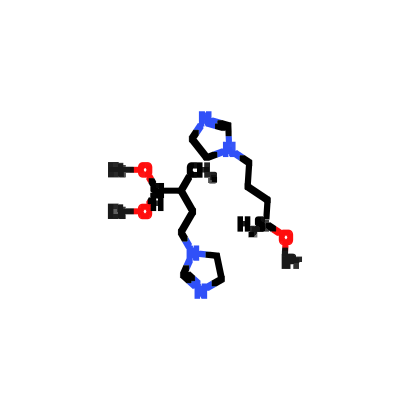 CC(C)O[SiH2]CCCN1C=NCC1.CCO[SiH](OCC)C(C)CCN1C=NCC1